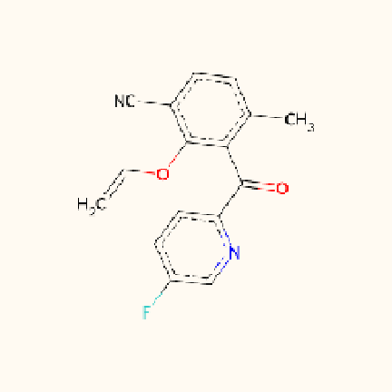 C=COc1c(C#N)ccc(C)c1C(=O)c1ccc(F)cn1